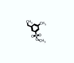 CCc1cc(C)cc(S(=O)(=O)OC)c1